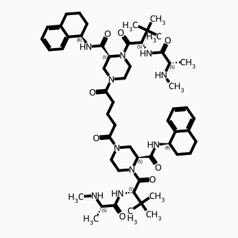 CN[C@@H](C)C(=O)N[C@H](C(=O)N1CCN(C(=O)CCCC(=O)N2CCN(C(=O)[C@@H](NC(=O)[C@H](C)NC)C(C)(C)C)[C@H](C(=O)N[C@@H]3CCCc4ccccc43)C2)C[C@H]1C(=O)N[C@@H]1CCCc2ccccc21)C(C)(C)C